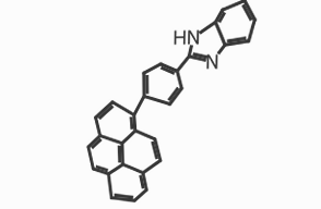 c1cc2ccc3ccc(-c4ccc(-c5nc6ccccc6[nH]5)cc4)c4ccc(c1)c2c34